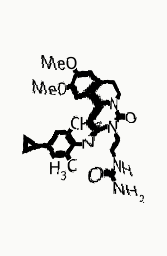 COc1cc2c(cc1OC)-c1cc(=Nc3c(C)cc(C4CC4)cc3C)n(CCNC(N)=O)c(=O)n1CC2